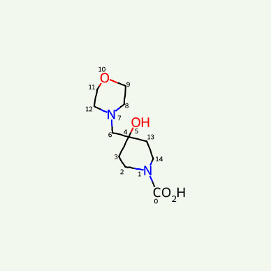 O=C(O)N1CCC(O)(CN2CCOCC2)CC1